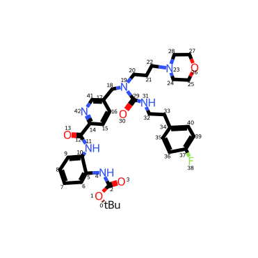 CC(C)(C)OC(=O)Nc1ccccc1NC(=O)c1ccc(CN(CCCN2CCOCC2)C(=O)NCCc2ccc(F)cc2)cn1